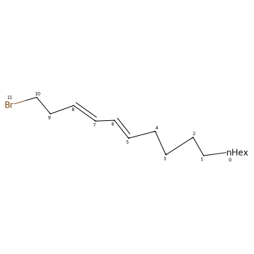 CCCCCCCCCCC=CC=CCCBr